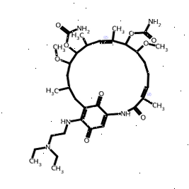 CCN(CC)CCNC1=C2CC(C)CC(OC)C(OC(N)=O)C(C)/C=C(/C)C(OC(N)=O)C(OC)CC/C=C(/C)C(=O)NC(=CC1=O)C2=O